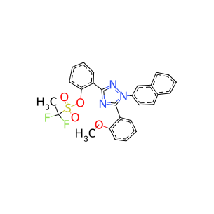 COc1ccccc1-c1nc(-c2ccccc2OS(=O)(=O)C(C)(F)F)nn1-c1ccc2ccccc2c1